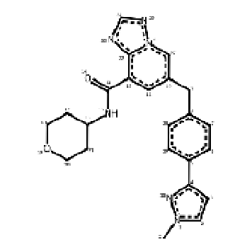 Cn1ccc(-c2ccc(Cc3cc(C(=O)NC4CCOCC4)c4ncnn4c3)cc2)n1